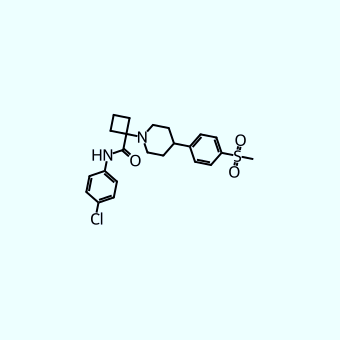 CS(=O)(=O)c1ccc(C2CCN(C3(C(=O)Nc4ccc(Cl)cc4)CCC3)CC2)cc1